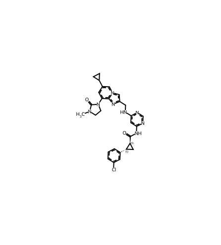 CN1CCN(c2cc(C3CC3)cn3cc(CNc4cc(NC(=O)[C@H]5C[C@@H]5c5cccc(Cl)c5)ncn4)nc23)C1=O